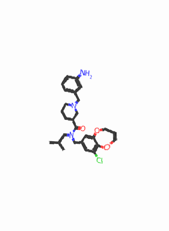 CC(C)CN(Cc1cc(Cl)c2c(c1)OCCCO2)C(=O)C1CCCN(Cc2cccc(N)c2)C1